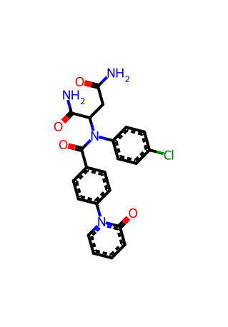 NC(=O)CC(C(N)=O)N(C(=O)c1ccc(-n2ccccc2=O)cc1)c1ccc(Cl)cc1